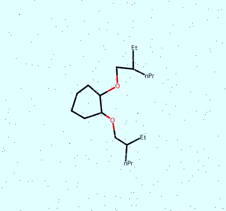 CCCC(CC)COC1CCCCC1OCC(CC)CCC